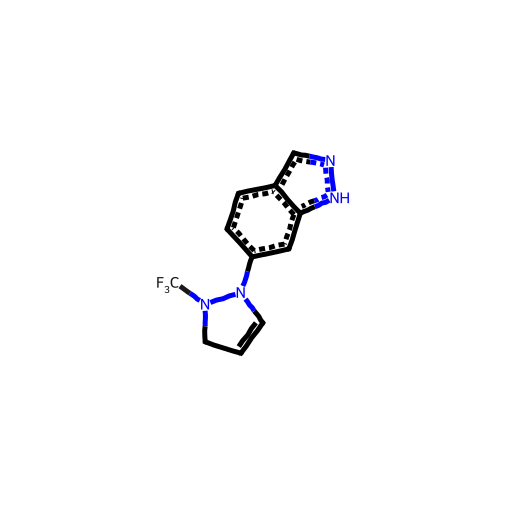 FC(F)(F)N1CC=CN1c1ccc2cn[nH]c2c1